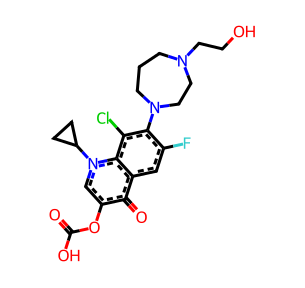 O=C(O)Oc1cn(C2CC2)c2c(Cl)c(N3CCCN(CCO)CC3)c(F)cc2c1=O